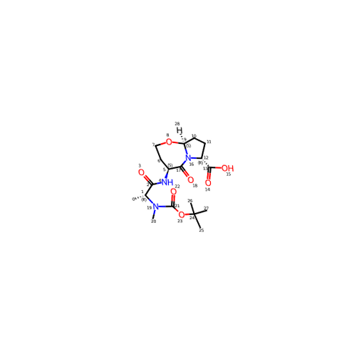 C[C@H](C(=O)N[C@H]1CCO[C@H]2CC[C@H](C(=O)O)N2C1=O)N(C)C(=O)OC(C)(C)C